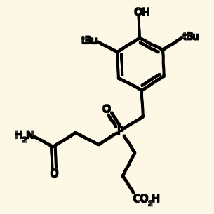 CC(C)(C)c1cc(CP(=O)(CCC(N)=O)CCC(=O)O)cc(C(C)(C)C)c1O